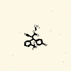 CCOC(=O)C(C#N)C(c1ccc(Br)cc1)c1ccccc1C(F)(F)F